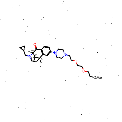 COCCOCCOCCN1CCN(c2ccc3c(c2)[C@]2(C)CCN(CC4CC4)[C@](C)(C3=O)[C@@H]2C)CC1